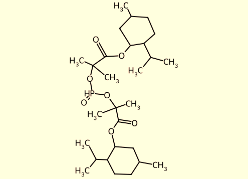 CC1CCC(C(C)C)C(OC(=O)C(C)(C)O[PH](=O)OC(C)(C)C(=O)OC2CC(C)CCC2C(C)C)C1